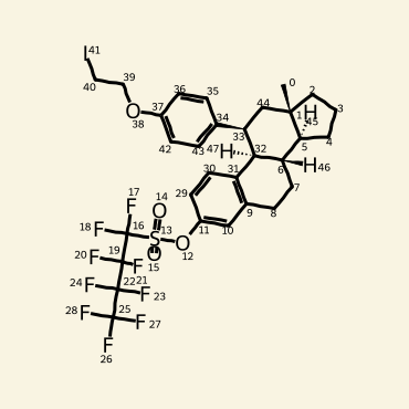 C[C@@]12CCC[C@H]1[C@@H]1CCc3cc(OS(=O)(=O)C(F)(F)C(F)(F)C(F)(F)C(F)(F)F)ccc3[C@H]1[C@@H](c1ccc(OCCI)cc1)C2